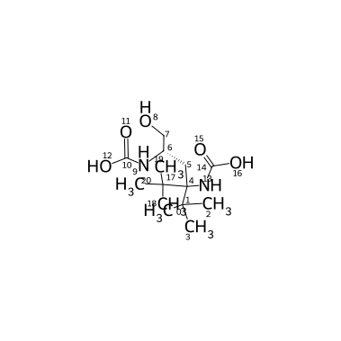 CC(C)(C)C(C[C@@H](CO)NC(=O)O)(NC(=O)O)C(C)(C)C